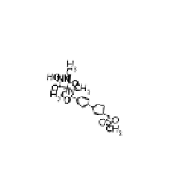 CNC(=O)[C@@](C)(C(=O)NO)N(C)C(=O)c1ccc(-c2ccc(CS(C)(=O)=O)cc2)cc1